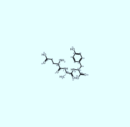 C[C@H](NC(=O)[C@H](N)CCC(=O)O)C(=O)N[C@@H](Cc1ccc(O)cc1)C(=O)O